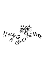 COC(=O)OC(=O)OC(=O)OC.[MgH2].[MgH2]